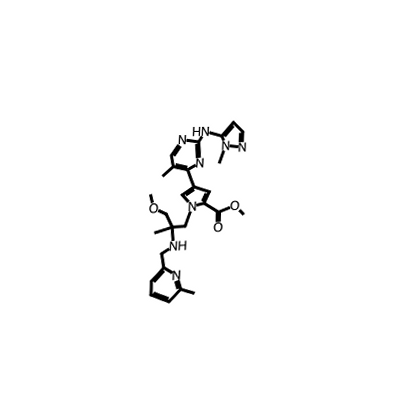 COCC(C)(Cn1cc(-c2nc(Nc3ccnn3C)ncc2C)cc1C(=O)OC)NCc1cccc(C)n1